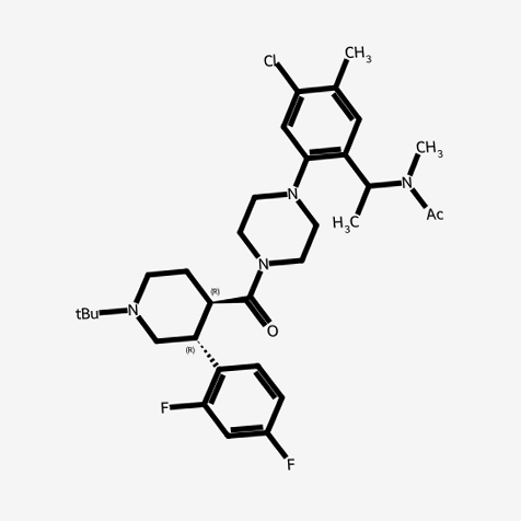 CC(=O)N(C)C(C)c1cc(C)c(Cl)cc1N1CCN(C(=O)[C@@H]2CCN(C(C)(C)C)C[C@H]2c2ccc(F)cc2F)CC1